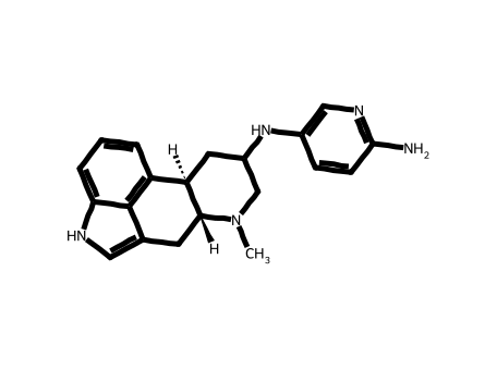 CN1CC(Nc2ccc(N)nc2)C[C@@H]2c3cccc4[nH]cc(c34)C[C@H]21